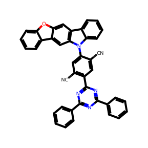 N#Cc1cc(-n2c3ccccc3c3cc4oc5ccccc5c4cc32)c(C#N)cc1-c1nc(-c2ccccc2)nc(-c2ccccc2)n1